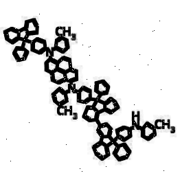 Cc1cccc(Nc2ccc(C3(c4ccccc4)c4ccccc4-c4cc(-c5cccc6c5-c5ccccc5C6(c5ccccc5)c5ccc(N(c6cccc(C)c6)c6ccc7ccc8c(N(c9ccc(C%10(c%11ccccc%11)c%11ccccc%11-c%11ccccc%11%10)cc9)c9cccc(C)c9)ccc9ccc6c7c98)cc5)ccc43)cc2)c1